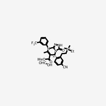 CC[N+](C)(C)CCc1cc(C#N)ccc1[C@@H]1C(C(=O)OC)=C(C)N(c2cccc(C(F)(F)F)c2)c2n[nH]c(=O)n21.O=CO